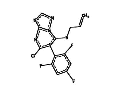 C=CCSc1c(-c2c(F)cc(F)cc2F)c(Cl)nc2ncnn12